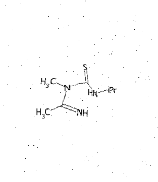 CC(=N)N(C)C(=S)NC(C)C